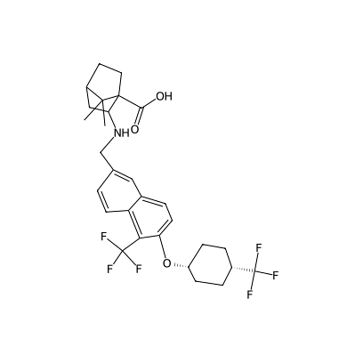 CC1(C)C2CCC1(C(=O)O)C(NCc1ccc3c(C(F)(F)F)c(O[C@H]4CC[C@@H](C(F)(F)F)CC4)ccc3c1)C2